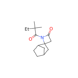 CCC(C)(C)C(=O)N1C(=O)CC12CC1CCC2C1